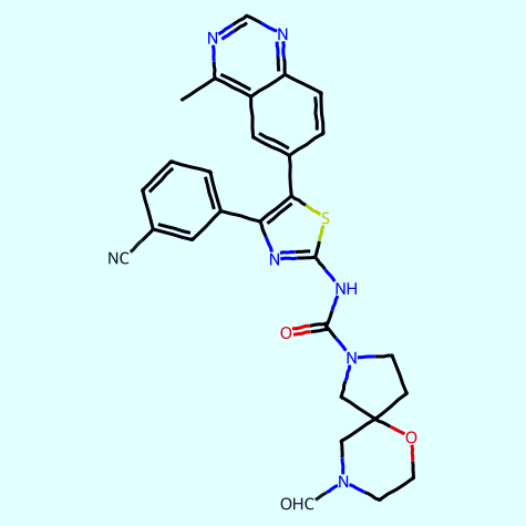 Cc1ncnc2ccc(-c3sc(NC(=O)N4CCC5(CN(C=O)CCO5)C4)nc3-c3cccc(C#N)c3)cc12